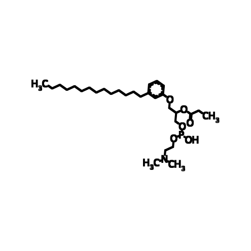 CCCCCCCCCCCCCCc1cccc(OCC(COP(O)OCCN(C)C)OC(=O)CC)c1